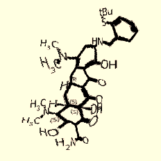 CN(C)c1cc(NCc2ccccc2SC(C)(C)C)c(O)c2c1C[C@H]1C[C@H]3[C@H](N(C)C)C(O)C(C(N)=O)C(=O)[C@@]3(O)C(O)=C1C2=O